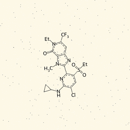 CCn1c(C(F)(F)F)cc2nc(-c3nc(NC4CC4)c(Cl)cc3S(=O)(=O)CC)n(C)c2c1=O